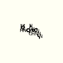 Cc1cc(Nc2cc(Cl)c(-n3cc4c(Nc5cc(C)ncn5)nccc4n3)c(C#N)c2)ncn1